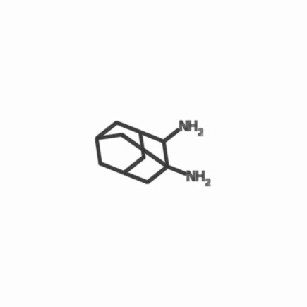 NC1C2CC3CC(C2)CC1(N)C3